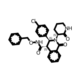 O=C(NOCc1ccccc1)[C@H]1c2ccccc2C(=O)N([C@H]2CCCNC2=O)[C@@H]1c1ccc(Cl)cc1